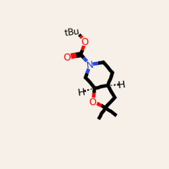 CC(C)(C)OC(=O)N1CC[C@H]2CC(C)(C)O[C@H]2C1